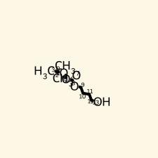 CC(C)(C)OOC(=O)OCCCCO